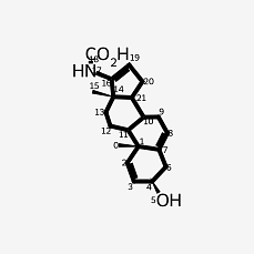 C[C@]12C=C[C@H](O)CC1=CCC1C2CC[C@]2(C)C(NC(=O)O)=CCC12